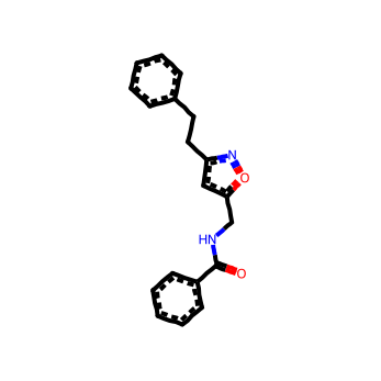 O=C(NCc1cc(CCc2ccccc2)no1)c1ccccc1